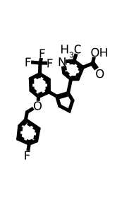 Cc1ncc(C2=C(c3cc(C(F)(F)F)ccc3OCc3ccc(F)cc3)CCC2)cc1C(=O)O